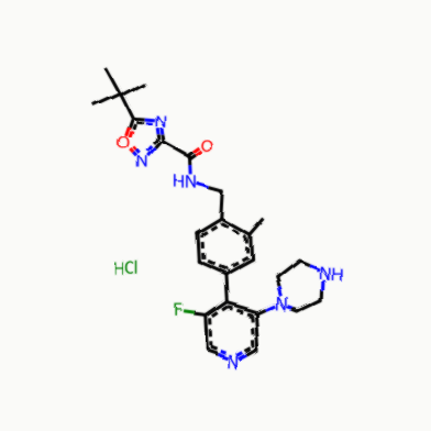 Cc1cc(-c2c(F)cncc2N2CCNCC2)ccc1CNC(=O)c1noc(C(C)(C)C)n1.Cl